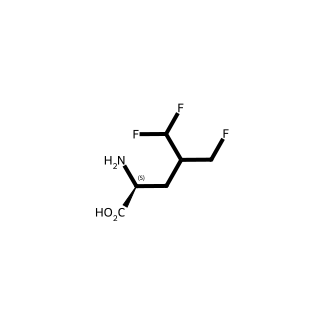 N[C@@H](CC(CF)C(F)F)C(=O)O